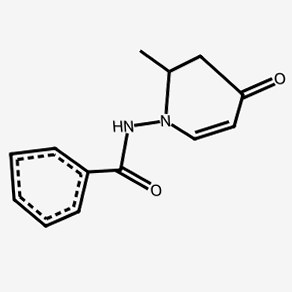 CC1CC(=O)C=CN1NC(=O)c1ccccc1